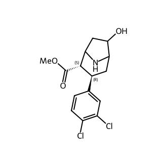 COC(=O)[C@@H]1C2CC(O)C(C[C@H]1c1ccc(Cl)c(Cl)c1)N2